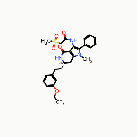 Cn1c2c(c(NC(=O)CS(C)(=O)=O)c1-c1ccccc1)C(=O)N[C@@H](CCc1cccc(OCC(F)(F)F)c1)C2